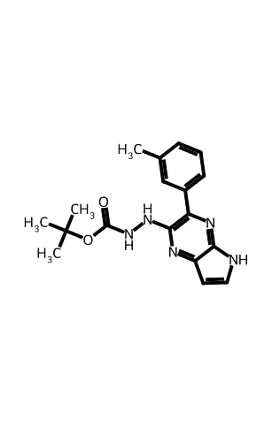 Cc1cccc(-c2nc3[nH]ccc3nc2NNC(=O)OC(C)(C)C)c1